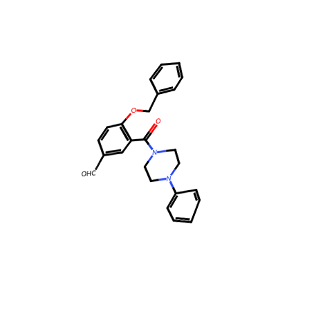 O=Cc1ccc(OCc2ccccc2)c(C(=O)N2CCN(c3ccccc3)CC2)c1